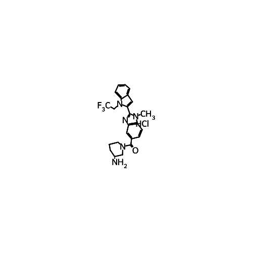 Cl.Cn1c(-c2cc3ccccc3n2CC(F)(F)F)nc2cc(C(=O)N3CCC[C@@H](N)C3)ccc21